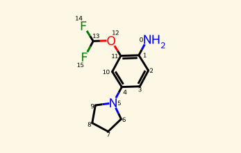 Nc1ccc(N2CCCC2)cc1OC(F)F